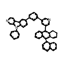 C1=Cc2c(c(-c3cncc(-c4cccc(-c5ccc6c(c5)c5ccncc5n6-c5ccccc5)c4)c3)c3ccccc3c2-c2cccc3ccccc23)CC1